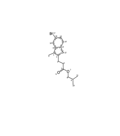 Cc1c(CCC(=O)OCC(C)C)sc2ccc(Br)cc12